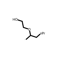 [CH2]C(CCCC)OCCO